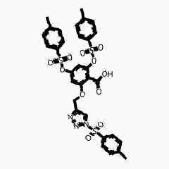 Cc1ccc(S(=O)(=O)Oc2cc(OCc3cn(S(=O)(=O)c4ccc(C)cc4)nn3)c(C(=O)O)c(OS(=O)(=O)c3ccc(C)cc3)c2)cc1